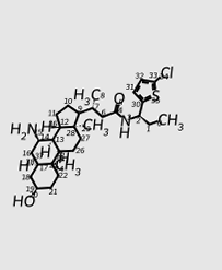 CC[C@@H](NC(=O)C[C@@H](C)C1CC[C@H]2[C@@H]3[C@H](N)C[C@@H]4C[C@H](O)CC[C@]4(C)[C@H]3CC[C@]12C)c1ccc(Cl)s1